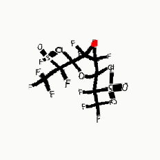 O=S(=O)(F)C(F)(C(F)(F)F)C(Cl)(OC(Cl)(C(F)(F)F)C(F)(C(F)(F)F)S(=O)(=O)F)C(F)(F)F